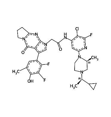 Cc1cc(-c2cn(CC(=O)Nc3cc(N4CCN([C@H](C)C5CC5)C[C@@H]4C)nc(F)c3Cl)c3nc4n(c(=O)c23)CCC4)c(F)c(F)c1O